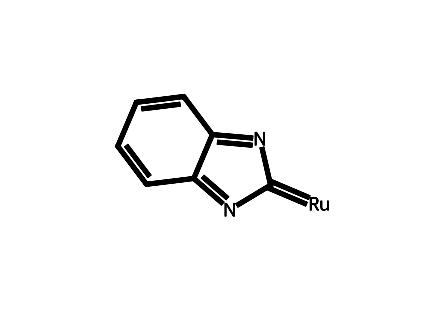 [Ru]=[C]1N=c2ccccc2=N1